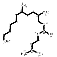 CCCCCCCCCCCCCCCC(C)CCC(COP(O)OCCN(C)C)OC(C)=O